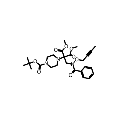 CC#CCON(CC(C(=O)OC)(C(=O)OC)N1CCN(C(=O)OC(C)(C)C)CC1)C(=O)c1ccccc1